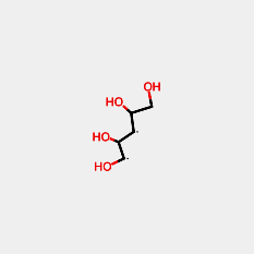 O[CH]C(O)[CH]C(O)CO